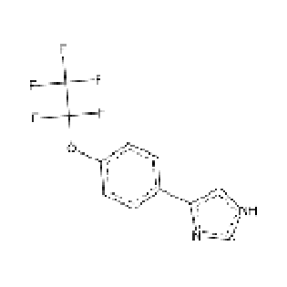 FC(F)(F)C(F)(F)Oc1ccc(-c2c[nH][c]n2)cc1